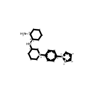 N[C@@H]1CCCC[C@H]1NC1CCCN(c2ccc(-n3cccn3)cc2)C1